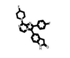 O=C1Cc2cc(-c3c(-c4ccc(F)cc4)nc4c(N5CCC(F)CC5)nccn34)ccc2N1